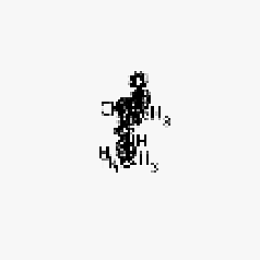 C=C(Cl)Cn1c(N2CCCC(NC(=O)OC(C)(C)C)C2)nc2c1c(=O)n(CC(=O)c1ccccc1)c(=O)n2C